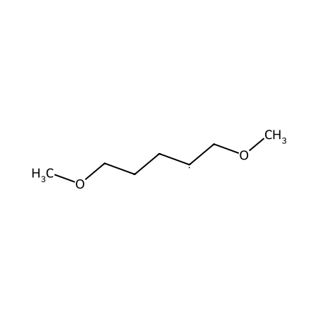 COC[CH]CCCOC